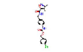 Cc1noc(C(=O)NCc2ccc(NC(=O)OCc3ccc(Cl)cc3)cc2)c1C